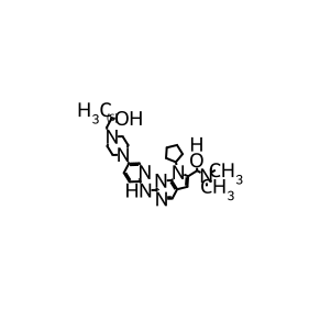 C[C@H](O)CN1CCN(c2ccc(Nc3ncc4cc(C(O)N(C)C)n(C5CCCC5)c4n3)nc2)CC1